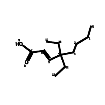 CCCCC(C=CC(=O)O)(CC)CC